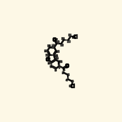 O=C(CCCCCl)c1ccc2oc3ccc(C(=O)CCCCCl)cc3c2c1